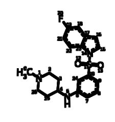 CN1CCC(Nc2cccc(S(=O)(=O)n3ccc4cc(F)ccc43)c2)CC1